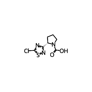 O=C(O)N1CCC[C@H]1c1nsc(Cl)n1